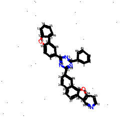 c1ccc(-c2nc(-c3ccc4oc5ccccc5c4c3)nc(-c3ccc4ccc5c6cnccc6oc5c4c3)n2)cc1